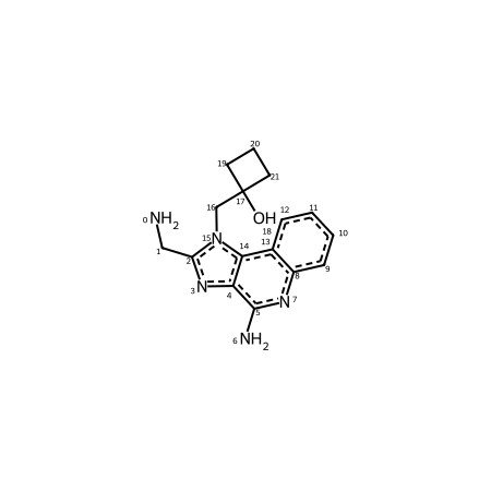 NCc1nc2c(N)nc3ccccc3c2n1CC1(O)CCC1